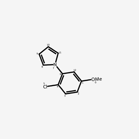 COc1[c]cc(Cl)c(-n2cccc2)c1